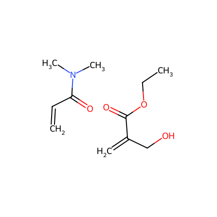 C=C(CO)C(=O)OCC.C=CC(=O)N(C)C